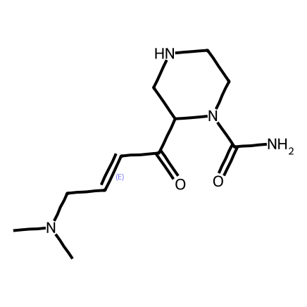 CN(C)C/C=C/C(=O)C1CNCCN1C(N)=O